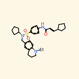 CCN1CCCc2cc(CN(C3CCCC3)S(=O)(=O)c3ccc(NC(=O)C=CC4CCCC4)cc3)ccc21